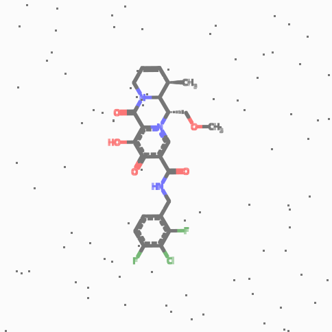 COC[C@H]1C2[C@H](C)C=CCN2C(=O)c2c(O)c(=O)c(C(=O)NCc3ccc(F)c(Cl)c3F)cn21